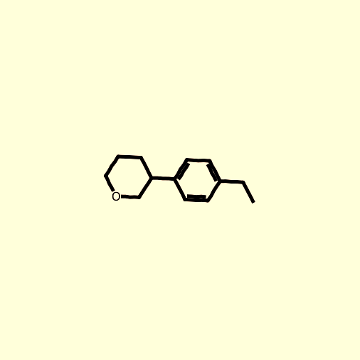 CCc1ccc(C2CCCOC2)cc1